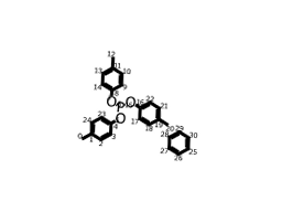 Cc1ccc(OP(Oc2ccc(C)cc2)Oc2ccc(C)cc2)cc1.c1ccccc1